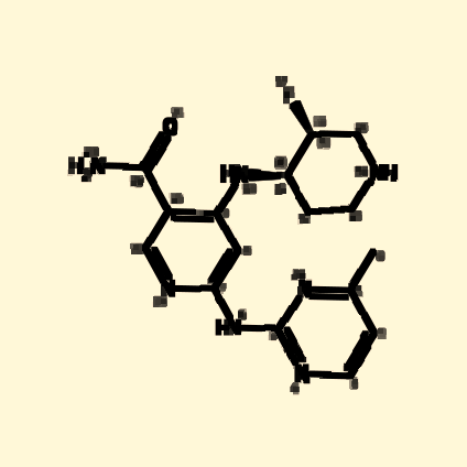 Cc1ccnc(Nc2cc(N[C@@H]3CCNC[C@@H]3F)c(C(N)=O)cn2)n1